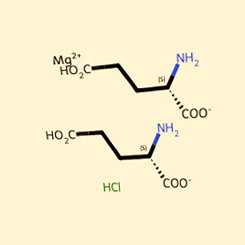 Cl.N[C@@H](CCC(=O)O)C(=O)[O-].N[C@@H](CCC(=O)O)C(=O)[O-].[Mg+2]